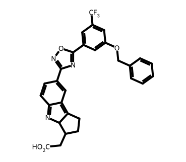 O=C(O)CC1CCC2=c3cc(-c4noc(-c5cc(OCc6ccccc6)cc(C(F)(F)F)c5)n4)ccc3=NC21